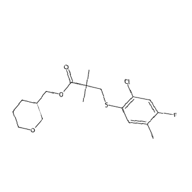 Cc1cc(SCC(C)(C)C(=O)OCC2CCCOC2)c(Cl)cc1F